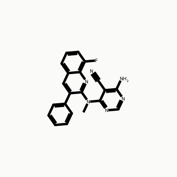 CN(c1nc2c(F)cccc2cc1-c1ccccc1)c1ncnc(N)c1C#N